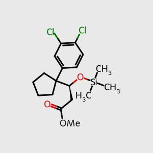 COC(=O)C[C@H](O[Si](C)(C)C)C1(c2ccc(Cl)c(Cl)c2)CCCC1